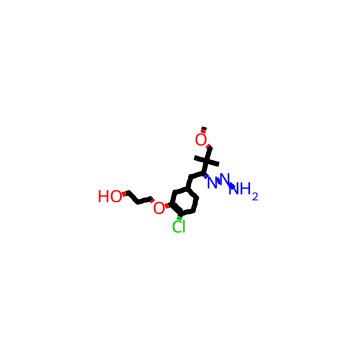 COCC(C)(C)C(CC1CCC(Cl)=C(OCCCO)C1)N=NN